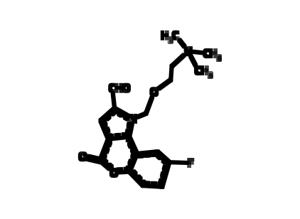 C[Si](C)(C)CCOCn1c(C=O)cc2c(=O)oc3ccc(F)cc3c21